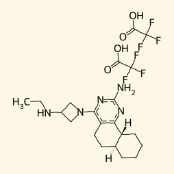 CCNC1CN(c2nc(N)nc3c2CC[C@@H]2CCCC[C@@H]32)C1.O=C(O)C(F)(F)F.O=C(O)C(F)(F)F